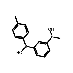 CB(O)c1cccc(B(O)c2ccc(C)cc2)c1